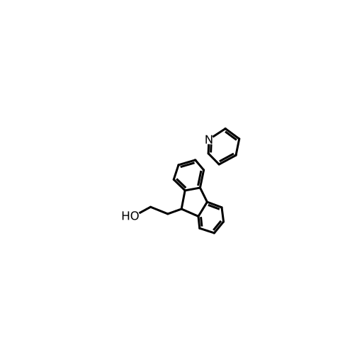 OCCC1c2ccccc2-c2ccccc21.c1ccncc1